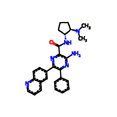 CN(C)[C@@H]1CCC[C@H]1NC(=O)c1nc(-c2ccc3ncccc3c2)c(-c2ccccc2)nc1N